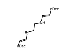 CCCCCCCCCCC=CNCCNC=CCCCCCCCCCC